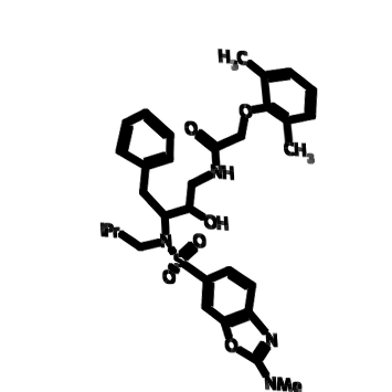 CNc1nc2ccc(S(=O)(=O)N(CC(C)C)C(Cc3ccccc3)C(O)CNC(=O)COc3c(C)cccc3C)cc2o1